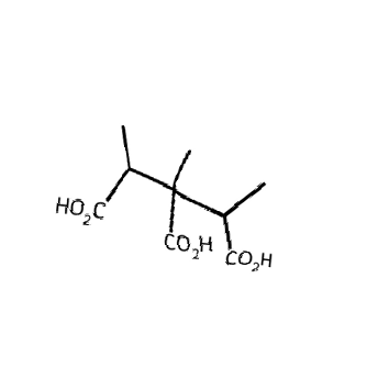 CC(C(=O)O)C(C)(C(=O)O)C(C)C(=O)O